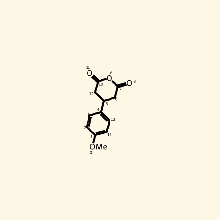 COc1ccc(C2CC(=O)OC(=O)C2)cc1